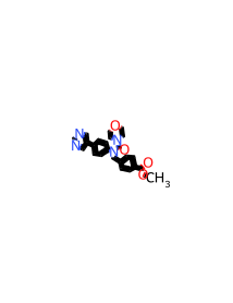 COC(=O)c1ccc(CN(C(=O)N2CCOCC2)c2ccc(-c3cncnc3)cc2)cc1